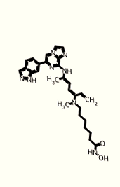 C=C/C(=C\C=C(/C)Nc1nc(-c2ccc3cn[nH]c3c2)cn2ccnc12)N(C)CCCCCCC(=O)NO